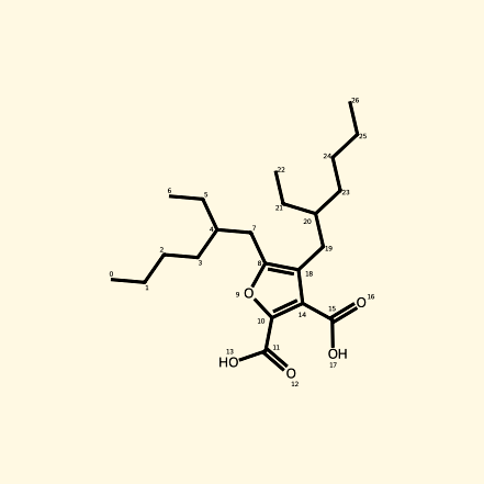 CCCCC(CC)Cc1oc(C(=O)O)c(C(=O)O)c1CC(CC)CCCC